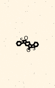 O=c1c2cc3c(cc2c2c1sc1ccccc12)c(=O)c1sc2ccccc2c13